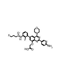 Nc1ccc(-c2nc(N3CCOCC3)c3cc(-c4cccc(N[S+]([O-])CCCF)c4F)cc(OCC(=O)O)c3n2)cn1